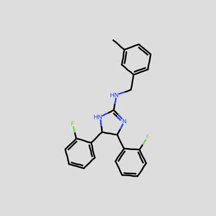 Cc1cccc(CNC2=NC(c3ccccc3F)C(c3ccccc3F)N2)c1